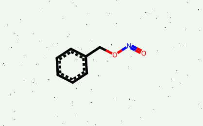 O=NOCc1ccccc1